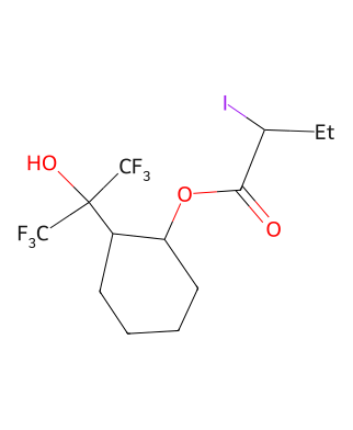 CCC(I)C(=O)OC1CCCCC1C(O)(C(F)(F)F)C(F)(F)F